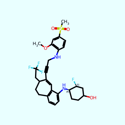 COc1cc(S(C)(=O)=O)ccc1NCC#CC1=Cc2c(cccc2N[C@@H]2CCC(O)C[C@@H]2F)CCC1CC(F)(F)F